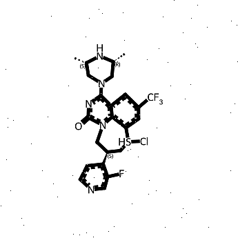 C[C@@H]1CN(c2nc(=O)n3c4c(cc(C(F)(F)F)cc24)[SH](Cl)C[C@@H](c2ccncc2F)C3)C[C@H](C)N1